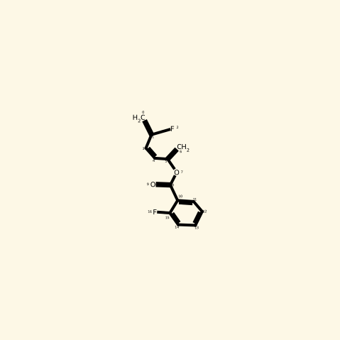 C=C(F)/C=C\C(=C)OC(=O)c1ccccc1F